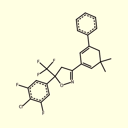 CC1(C)C=C(C2=NOC(c3cc(F)c(Cl)c(F)c3)(C(F)(F)F)C2)C=C(c2ccccc2)C1